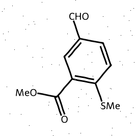 COC(=O)c1cc(C=O)ccc1SC